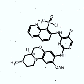 COc1cc2c(cc1Nc1ncc(Br)c(Nc3ccc4nccnc4c3P(C)(C)=O)n1)OC[C@@H]1CN(C)CCN21